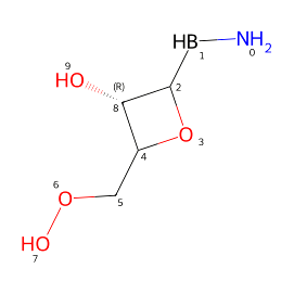 NBC1OC(COO)[C@@H]1O